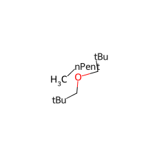 CC(C)(C)COCC(C)(C)C.CCCCCC